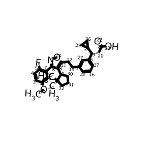 COc1ccc(F)c(-c2noc(CCc3cccc([C@@H](CC(=O)O)C4CC4)c3)c2C2CCCC2(C)C)c1